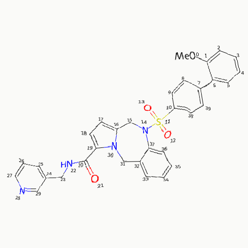 COc1ccccc1-c1ccc(S(=O)(=O)N2Cc3ccc(C(=O)NCc4cccnc4)n3Cc3ccccc32)cc1